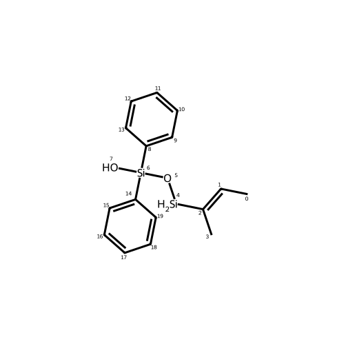 CC=C(C)[SiH2]O[Si](O)(c1ccccc1)c1ccccc1